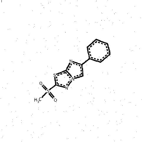 CS(=O)(=O)c1nn2cc(-c3ccccc3)nc2s1